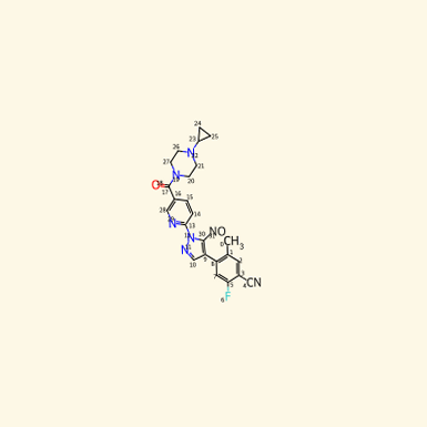 Cc1cc(C#N)c(F)cc1-c1cnn(-c2ccc(C(=O)N3CCN(C4CC4)CC3)cn2)c1N=O